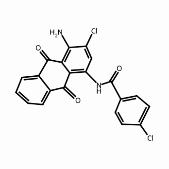 Nc1c(Cl)cc(NC(=O)c2ccc(Cl)cc2)c2c1C(=O)c1ccccc1C2=O